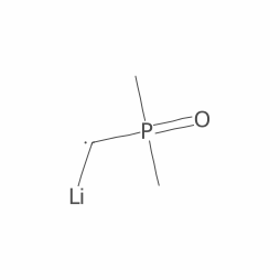 [Li][CH]P(C)(C)=O